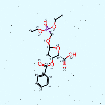 CCOP(=O)(CO[C@@H]1C[C@H](OC(=O)c2ccccc2)[C@@H](C(=O)O)O1)OCC